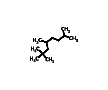 CC(C)[CH]CC(C)CC(C)(C)C